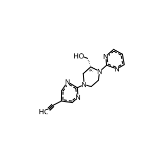 C#Cc1cnc(N2CCN(c3ncccn3)[C@@H](CO)C2)nc1